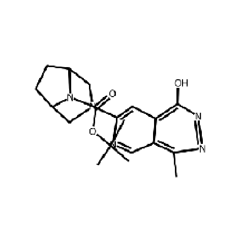 Cc1nnc(O)c2cc(N3CC4CCC(C3)N4C(=O)OC(C)(C)C)ncc12